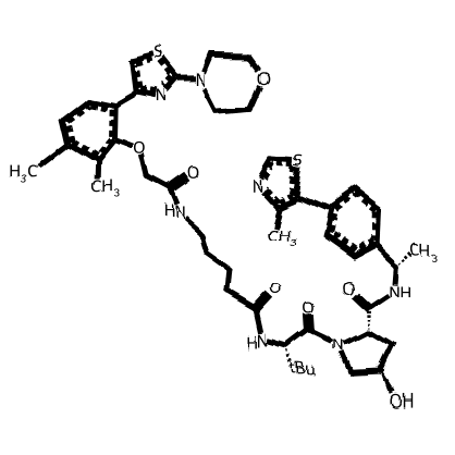 Cc1ccc(-c2csc(N3CCOCC3)n2)c(OCC(=O)NCCCCC(=O)N[C@H](C(=O)N2C[C@H](O)C[C@H]2C(=O)N[C@@H](C)c2ccc(-c3scnc3C)cc2)C(C)(C)C)c1C